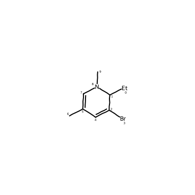 CCC1C(Br)=CC(C)=CN1C